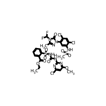 CCOC(=O)c1ccccc1S(=O)(=O)NC(=O)Nc1nc(Cl)cc(OC)n1.Cc1nn(-c2cc(NS(C)(=O)=O)c(Cl)cc2Cl)c(=O)n1C(F)F